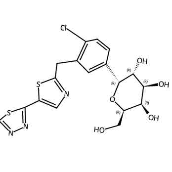 OC[C@H]1O[C@H](c2ccc(Cl)c(Cc3ncc(-c4nncs4)s3)c2)[C@H](O)[C@@H](O)[C@H]1O